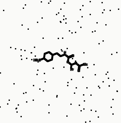 CC(C)C(OC(=O)NCCC1CCC(C(=O)O)CC1)OC(=O)C(C)(C)C